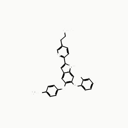 CSc1ccc(Oc2cc3cc(-c4ccc(CCC=O)cn4)[nH]c3cc2Oc2ccccc2F)cc1